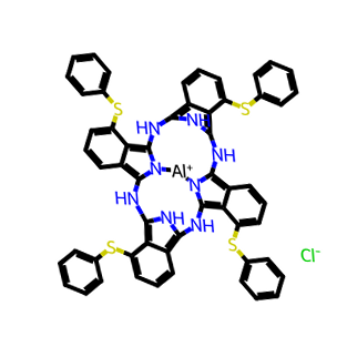 [Cl-].c1ccc(Sc2cccc3c4[nH]c([nH]c5c6cccc(Sc7ccccc7)c6c6[nH]c7[nH]c([nH]c8c9cccc(Sc%10ccccc%10)c9c([nH]4)[n]8[Al+][n]56)c4c(Sc5ccccc5)cccc74)c23)cc1